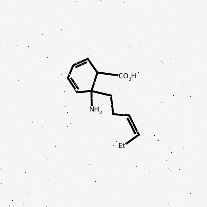 CC/C=C\CCC1(N)C=CC=CC1C(=O)O